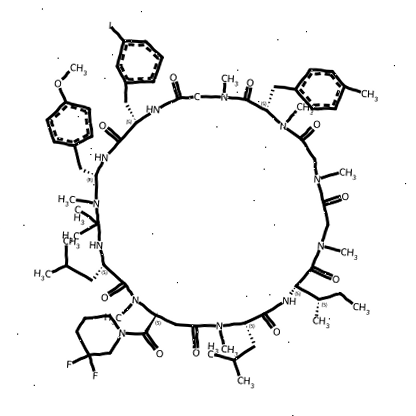 CC[C@H](C)[C@@H]1NC(=O)[C@H](CC(C)C)N(C)C(=O)C[C@@H](C(=O)N2CCCC(F)(F)C2)N(C)C(=O)[C@H](CC(C)C)NC(C)(C)N(C)[C@H](Cc2ccc(OC)cc2)NC(=O)[C@H](Cc2cccc(I)c2)NC(=O)CN(C)C(=O)[C@H](Cc2ccc(C)cc2)N(C)C(=O)CN(C)C(=O)CN(C)C1=O